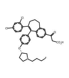 O=C(O)CC(=O)c1ccc2c(c1)CCCC(c1ccc(Cl)cc1Cl)=C2c1ccc(O[C@H]2CCN(CCCF)C2)cc1